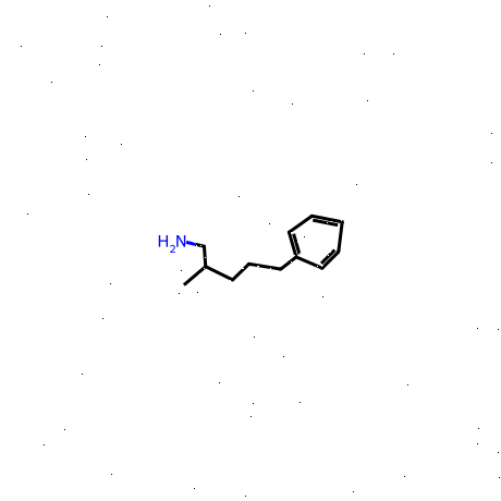 CC(CN)CCCc1ccccc1